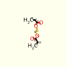 C=CC(=O)OSSOC(=O)C=C